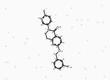 Cc1ccc(N2CCc3nc(OCc4cccc(F)c4)ccc3C2=O)cn1